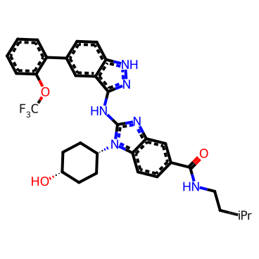 CC(C)CCNC(=O)c1ccc2c(c1)nc(Nc1n[nH]c3ccc(-c4ccccc4OC(F)(F)F)cc13)n2[C@H]1CC[C@@H](O)CC1